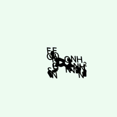 NC(=O)c1c(-c2ccc(NS(=O)(=O)C(F)F)c(OCc3nccs3)c2)n[nH]c1Nc1cnccn1